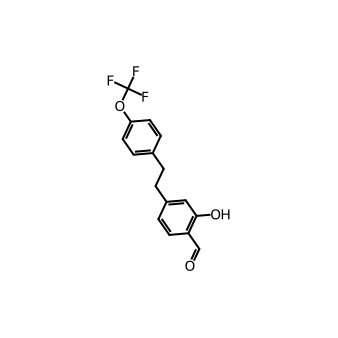 O=Cc1ccc(CCc2ccc(OC(F)(F)F)cc2)cc1O